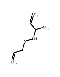 C=CCSNC(C)C=C